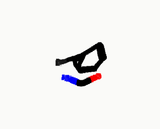 CCc1c2cccc1-2.N=C=O